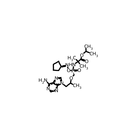 CC(C)OC(=O)C(C)(C)N[P@@](=O)(COC(C)Cn1cnc2c(N)ncnc21)ON=C1CCCC1